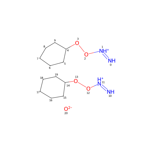 N=[NH+]OOC1CCCCC1.N=[NH+]OOC1CCCCC1.[O-2]